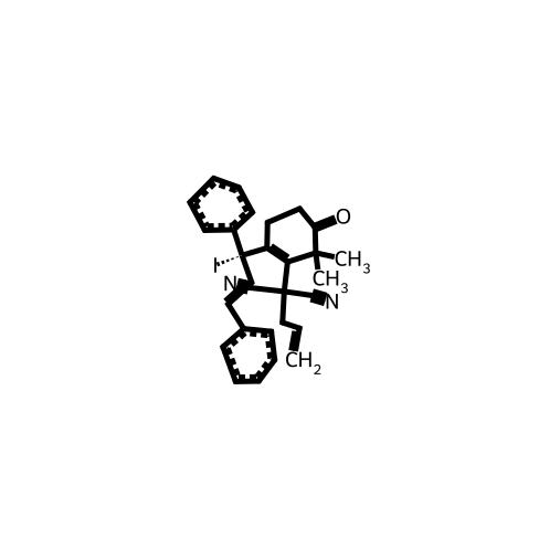 C=CCC(C#N)(C#N)C1=C([C@@](I)(/C=C/c2ccccc2)c2ccccc2)CCC(=O)C1(C)C